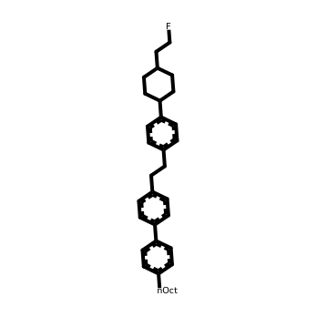 CCCCCCCCc1ccc(-c2ccc(CCc3ccc(C4CCC(CCF)CC4)cc3)cc2)cc1